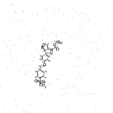 CC(C)(C)OC(=O)Nc1conc1-c1ccc(OCc2ccc(S(C)(=O)=O)cc2)cc1